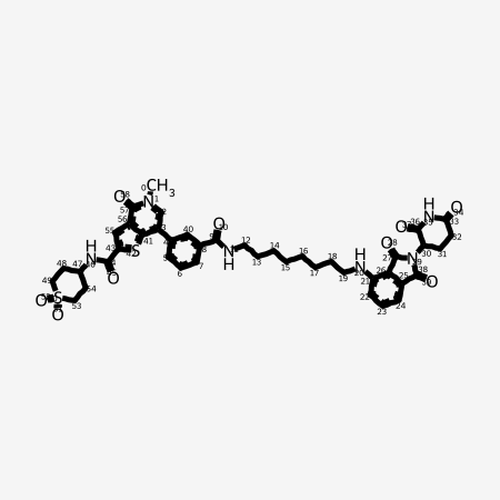 Cn1cc(-c2cccc(C(=O)NCCCCCCCCNc3cccc4c3C(=O)N(C3CCC(=O)NC3=O)C4=O)c2)c2sc(C(=O)NC3CCS(=O)(=O)CC3)cc2c1=O